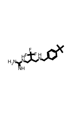 CC(C)(C)c1ccc(CNCC(CNC(=N)N)C(F)(F)F)cc1